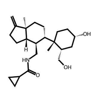 C=C1CC[C@H]2[C@H](CNC(=O)C3CC3)[C@@H]([C@]3(C)CC[C@H](O)C[C@@H]3CO)CC[C@]12C